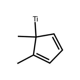 CC1=CC=C[C]1(C)[Ti]